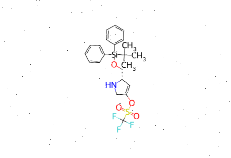 CC(C)(C)[Si](OC[C@@H]1C=C(OS(=O)(=O)C(F)(F)F)CN1)(c1ccccc1)c1ccccc1